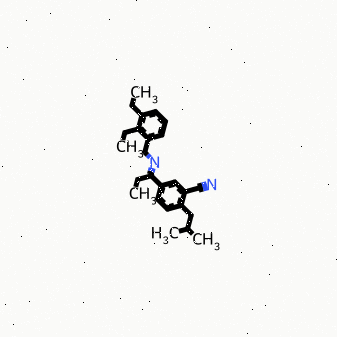 CC/C(=N\Cc1cccc(CC)c1CC)c1ccc(CC(C)C)c(C#N)c1